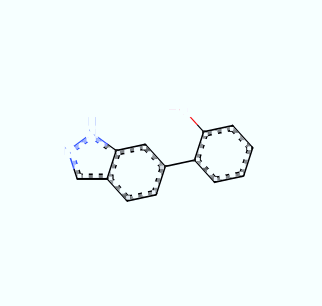 Oc1c[c]ccc1-c1ccc2cn[nH]c2c1